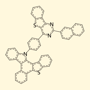 c1ccc2cc(-c3nc(-c4ccc(-n5c6ccccc6c6c7ccccc7c7sc8ccccc8c7c65)cc4)c4sc5ccccc5c4n3)ccc2c1